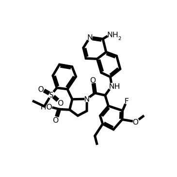 CCc1cc(OC)c(F)c(C(Nc2ccc3c(N)nccc3c2)C(=O)N2CCC(C(=O)O)C2c2ccccc2S(=O)(=O)CC)c1